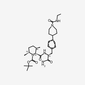 CCNC(=O)N1CCC(c2ccc(C[C@H](NC(=O)[C@@H]3[C@H](C)CC[C@H](C)N3C(=O)OC(C)(C)C)C(N)=O)cc2)CC1